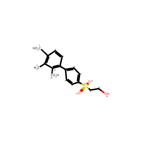 Cc1c(C(=O)O)ccc(-c2ccc(S(=O)(=O)CCO)cc2)c1C(=O)O